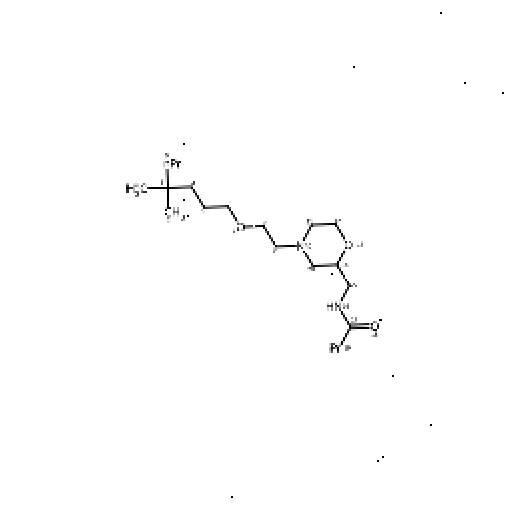 CCCC(C)(C)CCCOCCN1CCOC(CNC(=O)C(C)C)C1